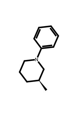 C[C@H]1CCCN(c2ccccc2)C1